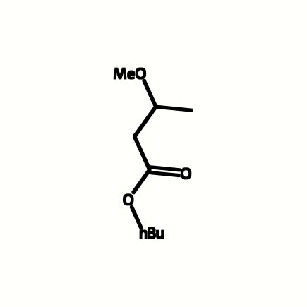 CCCCOC(=O)CC(C)OC